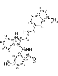 CN1C=CC2=CN=C(CNCc3[nH]c4ccccc4c3C3NC(=O)c4ccc(O)cc43)CC21